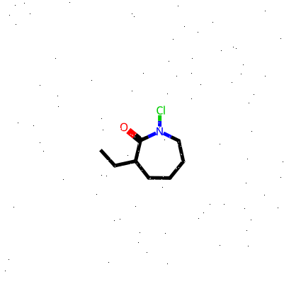 CCC1CCCCN(Cl)C1=O